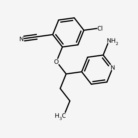 CCCC(Oc1cc(Cl)ccc1C#N)c1ccnc(N)c1